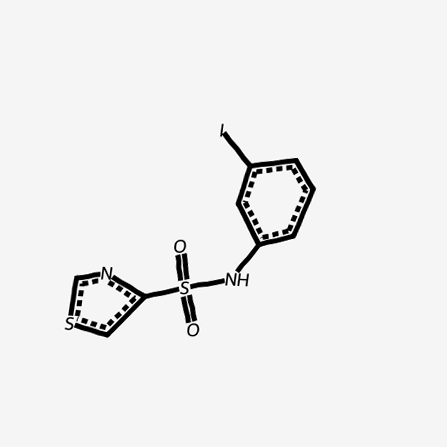 O=S(=O)(Nc1cccc(I)c1)c1cscn1